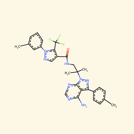 Cc1ccc(-c2nn(C(C)(C)CNC(=O)c3cnn(-c4cccc(C)c4)c3C(F)(F)F)c3ncnc(N)c23)cc1